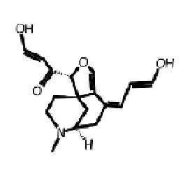 CN1CC[C@]23C[C@H]1C/C(=C/C=C/O)C2=CO[C@H]3C(=O)C=CO